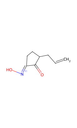 C=CCC1CC/C(=N\O)C1=O